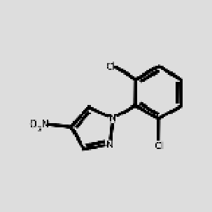 O=[N+]([O-])c1cnn(-c2c(Cl)cccc2Cl)c1